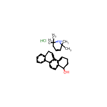 CC1(C)C=CCC(C)(C)N1.Cl.OC1CCC=c2c1ccc1c2=CCc2ccccc2-1